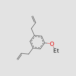 C=CCc1cc(CC=C)cc(OCC)c1